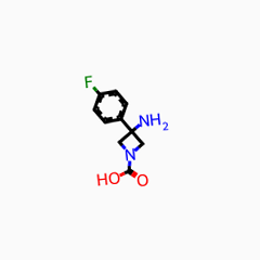 NC1(c2ccc(F)cc2)CN(C(=O)O)C1